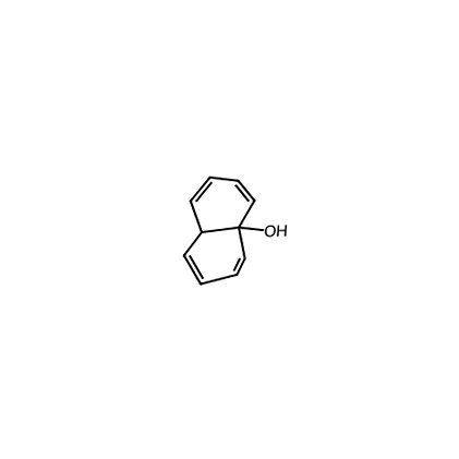 OC12C=CC=CC1C=CC=C2